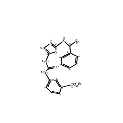 CCOC(=O)c1cccc(NC(=O)Nc2nnc(SC(CC)c3ccccc3)s2)c1